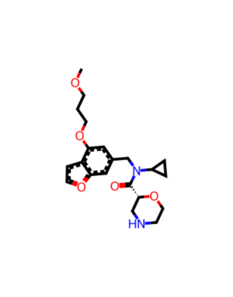 COCCCOc1cc(CN(C(=O)[C@H]2CNCCO2)C2CC2)cc2occc12